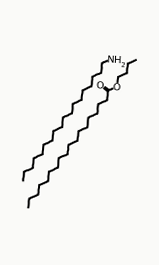 CCCCCCCCCCCCCCCCCC(=O)OCCCC.CCCCCCCCCCCCCCCCCCN